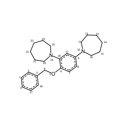 c1ccc(COc2ccc(N3CCCCCC3)cc2N2CCCCCC2)cc1